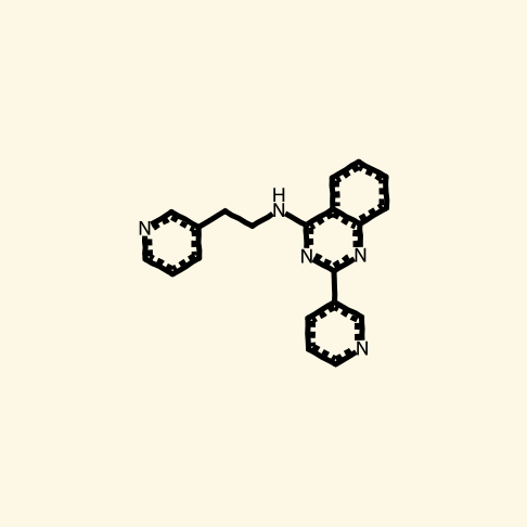 c1cncc(CCNc2nc(-c3cccnc3)nc3ccccc23)c1